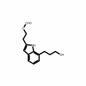 O=COCCc1cc2cccc(CCCO)c2[nH]1